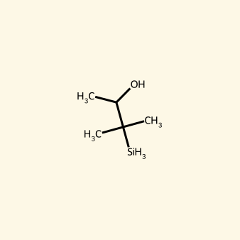 CC(O)C(C)(C)[SiH3]